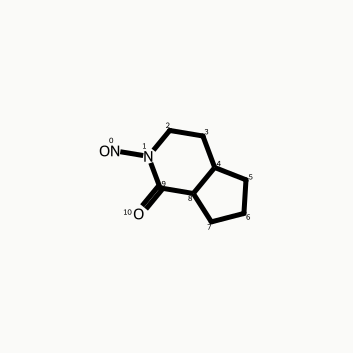 O=NN1CCC2CCCC2C1=O